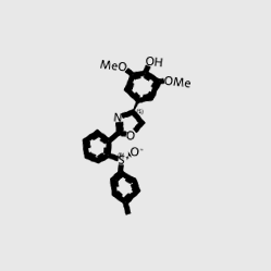 COc1cc([C@H]2COC(c3ccccc3[S@@+]([O-])c3ccc(C)cc3)=N2)cc(OC)c1O